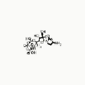 C#CC1(Cl)[C@@H](O)[C@@H]([C@@H](C)OP(=O)(O)OP(=O)(O)OP(=O)(O)O)O[C@H]1n1ccc(N)nc1=O